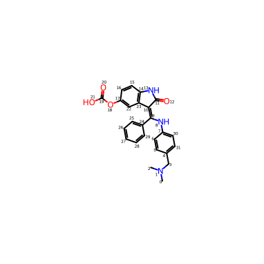 CN(C)Cc1ccc(N/C(=C2\C(=O)Nc3ccc(OC(=O)O)cc32)c2ccccc2)cc1